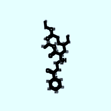 CCOC(=O)CSC(CC)CC(NCCC(=O)c1ccccc1)C(=O)OCC